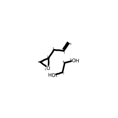 C=CCC1CO1.OCCO